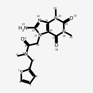 CN(Cc1cccs1)C(=O)Cn1c(N)nc2c1c(=O)n(C)c(=O)n2C